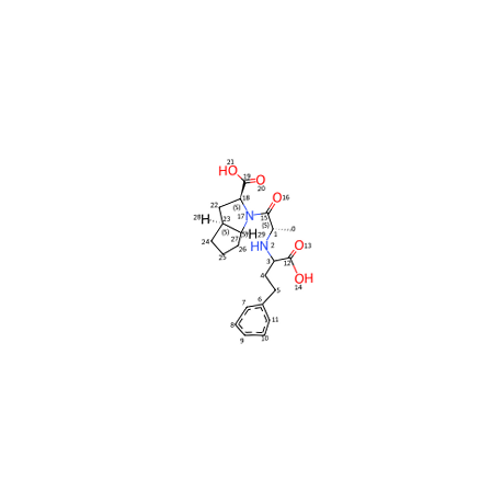 C[C@H](NC(CCc1ccccc1)C(=O)O)C(=O)N1[C@H](C(=O)O)C[C@@H]2CCC[C@@H]21